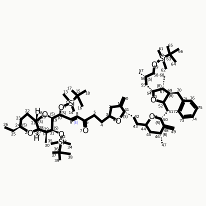 C=C1CC(CCC(=O)/C=C/[C@H](O[Si](C)(C)C(C)(C)C)[C@@H]2O[C@H]3CC[C@H](CC)O[C@@H]3[C@H](C)[C@@H]2O[Si](C)(C)C(C)(C)C)O[C@H]1CCC1C[C@@H](C)C(=C)[C@@H](CC2O[C@H](C[C@H](C)CO[Si](C)(C)C(C)(C)C)[C@H](C)[C@H]2Cc2ccccc2)O1